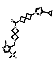 Cn1ncc(P(C)(C)=O)c1CN1CC2(C1)CN(C(=O)N1CC3(CC(n4cnc(C5CC5)n4)C3)C1)C2